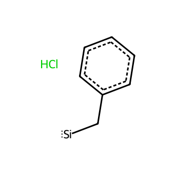 Cl.[Si]Cc1ccccc1